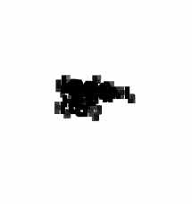 CC(C)(C)NC(O)c1cc(C(F)(F)F)ccc1-c1ccc(-c2cnc(N)nc2)c(F)c1